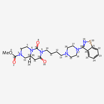 COC(=O)N1CCN2C(=O)N(CCCCN3CCN(c4nsc5ccccc45)CC3)C(=O)C[C@@H]2C1